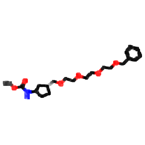 CC(C)(C)OC(=O)N[C@@H]1CC[C@@H](COCCOCCOCCOCc2ccccc2)C1